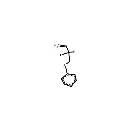 C=CC(F)(F)COc1ccccc1